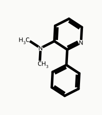 CN(C)c1cccnc1-c1ccccc1